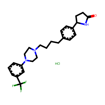 Cl.O=C1CCC(c2ccc(CCCCN3CCN(c4cccc(C(F)(F)F)c4)CC3)cc2)N1